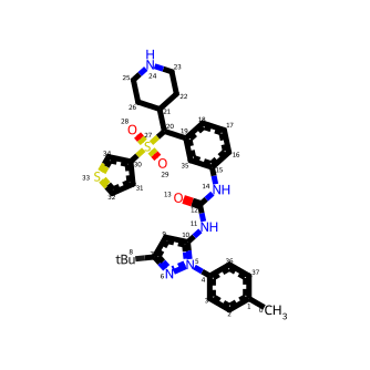 Cc1ccc(-n2nc(C(C)(C)C)cc2NC(=O)Nc2cccc(C(C3CCNCC3)S(=O)(=O)c3ccsc3)c2)cc1